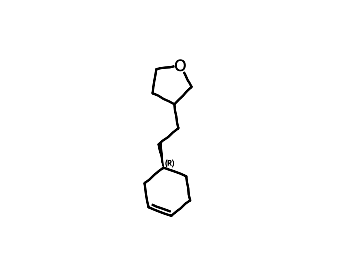 C1=CC[C@@H](CCC2CCOC2)CC1